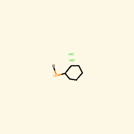 Cl.Cl.[Al][PH]C1CCCCC1